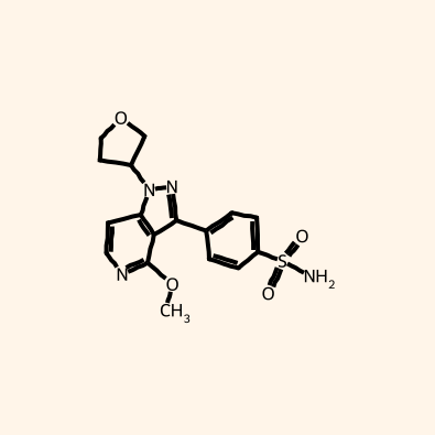 COc1nccc2c1c(-c1ccc(S(N)(=O)=O)cc1)nn2C1CCOC1